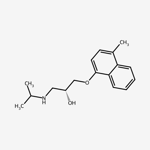 Cc1ccc(OC[C@H](O)CNC(C)C)c2ccccc12